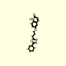 O=c1ccc2cc(OCCCc3nnc(C4CCCCC4)o3)ccc2[nH]1